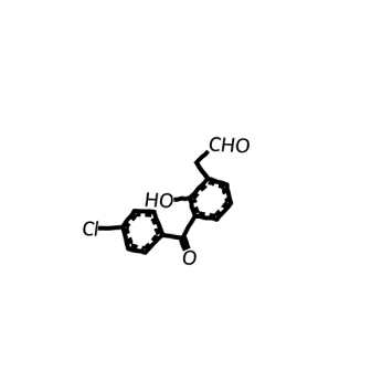 O=CCc1cccc(C(=O)c2ccc(Cl)cc2)c1O